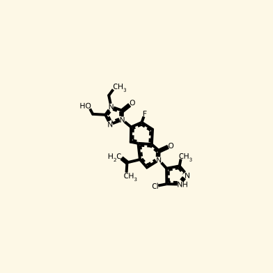 C=C(C)c1cn(-c2c(C)n[nH]c2Cl)c(=O)c2cc(F)c(-n3nc(CO)n(CC)c3=O)cc12